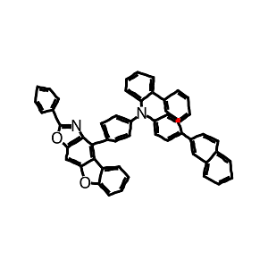 c1ccc(-c2nc3c(-c4ccc(N(c5ccc(-c6ccc7ccccc7c6)cc5)c5ccccc5-c5ccccc5)cc4)c4c(cc3o2)oc2ccccc24)cc1